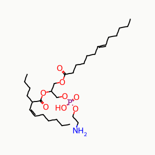 CCCCC/C=C\C(CCCC)C(=O)OC(COC(=O)CCCCC/C=C/CCCCC)COP(=O)(O)OCCN